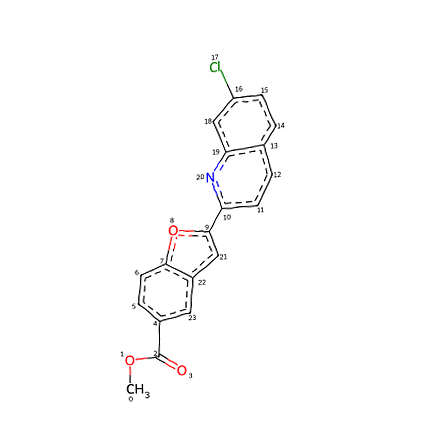 COC(=O)c1ccc2oc(-c3ccc4ccc(Cl)cc4n3)cc2c1